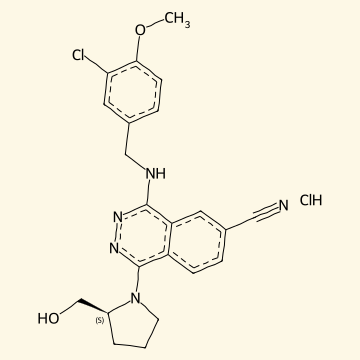 COc1ccc(CNc2nnc(N3CCC[C@H]3CO)c3ccc(C#N)cc23)cc1Cl.Cl